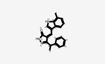 Cc1cccc2c(/C=C3\C(=O)NN=C3C(C)c3ccccc3)c[nH]c12